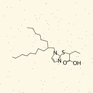 CCCCCCCCC(CCCCCC)Cn1ccnc1SC(CC)C(=O)O